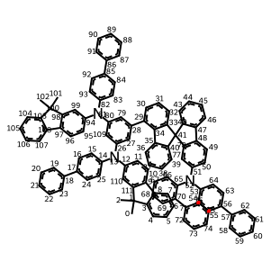 CC1(C)c2ccccc2-c2ccc(N(c3ccc(-c4ccccc4)cc3)c3cc(-c4cccc5c4-c4ccccc4C54c5ccccc5-c5ccc(N(c6ccc(-c7ccccc7)cc6)c6ccccc6-c6ccccc6)cc54)cc(N(c4ccc(-c5ccccc5)cc4)c4ccc5c(c4)C(C)(C)c4ccccc4-5)c3)cc21